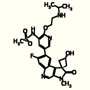 CC(C)NCCOc1ncc(-c2cc3c(cc2F)ncc2c3[C@]3(C[C@H](O)C3)C(=O)N2C)cc1NS(C)(=O)=O